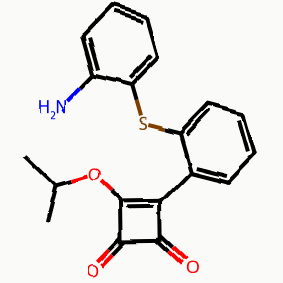 CC(C)Oc1c(-c2ccccc2Sc2ccccc2N)c(=O)c1=O